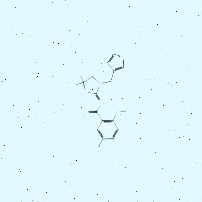 COc1ccc(Cl)cc1C(=O)N=C1SC(C)(C)CN1Cc1ccsc1